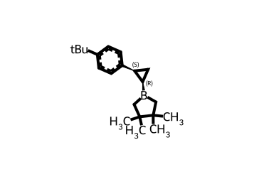 CC(C)(C)c1ccc([C@H]2C[C@H]2B2CC(C)(C)C(C)(C)C2)cc1